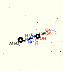 COc1cccc(CNc2ncnc3c2nnn3[C@H]2C[C@@H](OCCOS(N)(=O)=O)[C@H](O)[C@@H]2O)c1